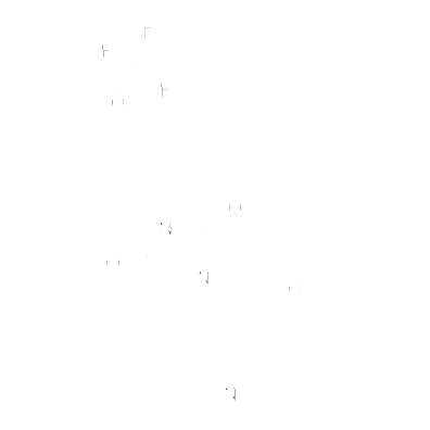 COc1cccc2nccc(CN3CC(=O)N(c4ccc(OC(F)(F)F)cc4)C3=O)c12